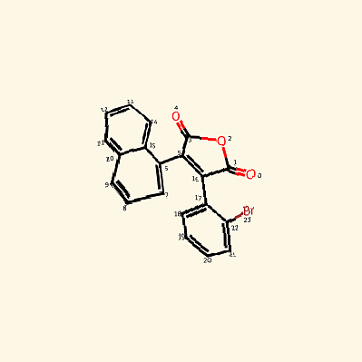 O=C1OC(=O)C(c2cccc3ccccc23)=C1c1ccccc1Br